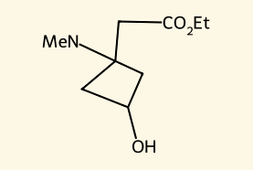 CCOC(=O)CC1(NC)CC(O)C1